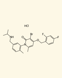 Cc1ccc(CNC(C)C)cc1-n1c(C)cc(OCc2ccc(F)cc2F)c(Br)c1=O.Cl